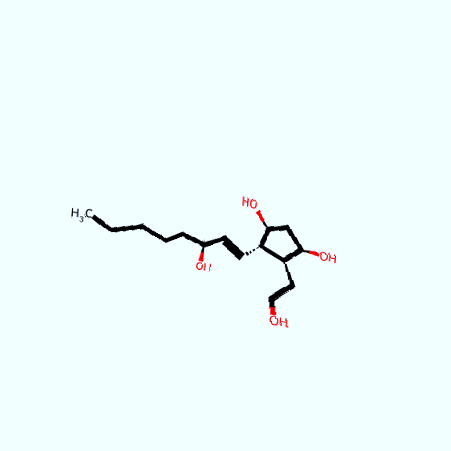 CCCCC[C@H](O)/C=C/[C@H]1[C@H](CCO)[C@H](O)C[C@@H]1O